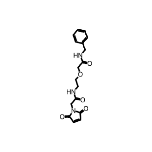 O=C(COCCNC(=O)CN1C(=O)C=CC1=O)NCc1ccccc1